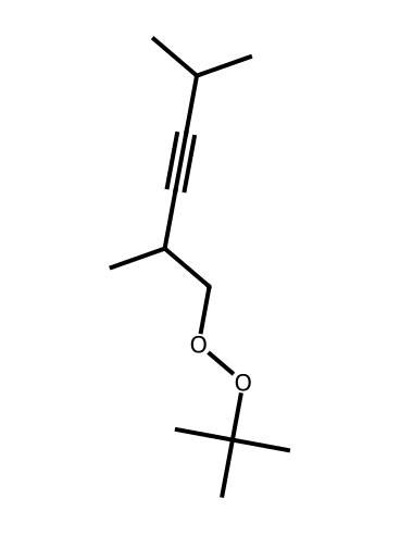 CC(C)C#CC(C)COOC(C)(C)C